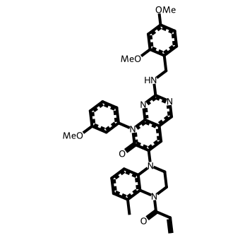 C=CC(=O)N1CCN(c2cc3cnc(NCc4ccc(OC)cc4OC)nc3n(-c3cccc(OC)c3)c2=O)c2cccc(C)c21